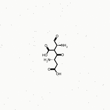 N[C@H](C=O)C(C(=O)O)C(=O)[C@@H](N)CC(=O)O